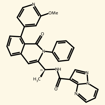 COc1cc(-c2cccc3cc([C@H](C)NC(=O)c4cnn5cccnc45)n(-c4ccccc4)c(=O)c23)ccn1